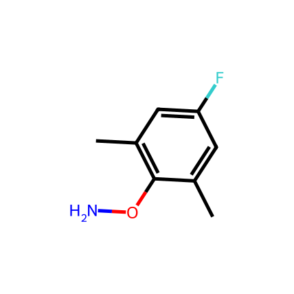 Cc1cc(F)cc(C)c1ON